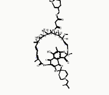 CO[C@H]1/C=C/O[C@@]2(C)Oc3c(C)c(O)c4c(c3C2=O)C2=NC3(CCN(CC(C)C)CC3)NC2=C(NC(=O)/C(C)=C\C=C\[C@H](C)[C@H](O)[C@@H](C)[C@@H](O)[C@@H](C)[C@H](OC(=O)CC(=O)OCC2CCCN(C)C2)[C@@H]1C)C4=O